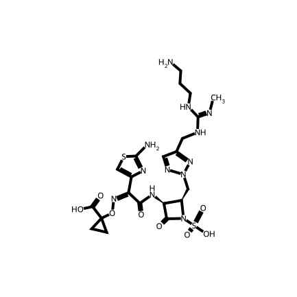 C/N=C(\NCCCN)NCc1cnn(C[C@@H]2[C@H](NC(=O)/C(=N\OC3(C(=O)O)CC3)c3csc(N)n3)C(=O)N2S(=O)(=O)O)n1